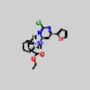 CCOC(=O)[C@H]1C2CCC(CC2)[C@@H]1Nc1cc(-c2ccco2)nc(Cl)n1